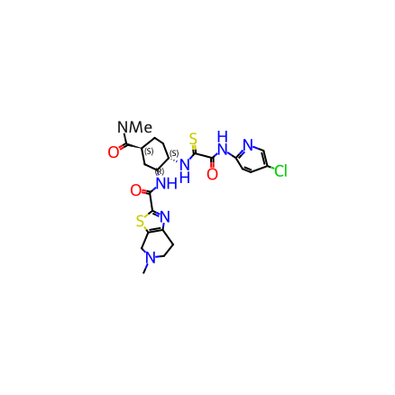 CNC(=O)[C@H]1CC[C@H](NC(=S)C(=O)Nc2ccc(Cl)cn2)[C@H](NC(=O)c2nc3c(s2)CN(C)CC3)C1